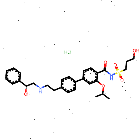 CC(C)Oc1cc(-c2ccc(CCNC[C@@H](O)c3ccccc3)cc2)ccc1C(=O)NS(=O)(=O)CCCO.Cl